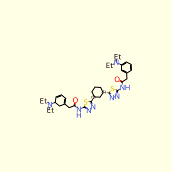 CCN(CC)c1cccc(CC(=O)Nc2nnc([C@H]3CCC[C@H](c4nnc(NC(=O)CC5=CC=CC(N(CC)CC)C5)s4)C3)s2)c1